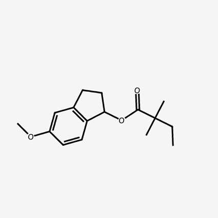 CCC(C)(C)C(=O)OC1CCc2cc(OC)ccc21